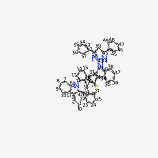 C=C/C=c1\c2n(c3ccccc13)-c1ccccc1C1(C=2C)c2ccccc2Sc2c1ccc1c2c2ccccc2n1-c1nc(-c2ccccc2)cc(-c2ccccc2)n1